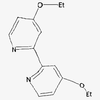 CCOc1ccnc(-c2cc(OCC)ccn2)c1